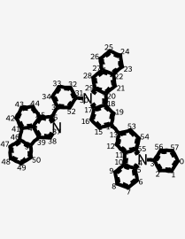 c1ccc(-n2c3ccccc3c3cc(-c4ccc5c(c4)c4cc6ccccc6cc4n5-c4cccc(-c5ncc6c7c(cccc57)-c5ccccc5-6)c4)ccc32)cc1